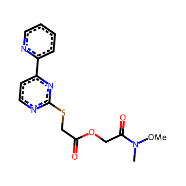 CON(C)C(=O)COC(=O)CSc1nccc(-c2ccccn2)n1